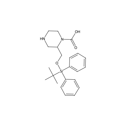 CC(C)(C)[Si](OCC1CNCCN1C(=O)O)(c1ccccc1)c1ccccc1